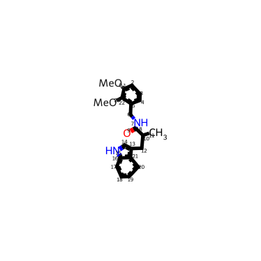 COc1cccc(CNC(=O)C(C)Cc2c[nH]c3ccccc23)c1OC